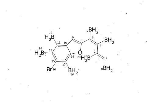 B/C=C(B)/C(B)=C(/B)c1cc2c(B)c(B)c(Br)c(B)c2o1